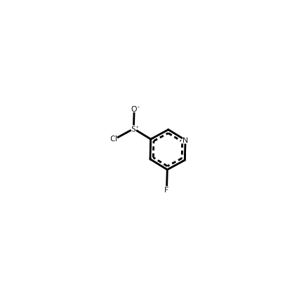 [O-][S+](Cl)c1cncc(F)c1